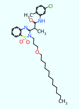 CCCCCCCCCCCCOCCCN1C(C(C)C(=O)Nc2cc(Cl)ccc2C)=Nc2ccccc2S1(=O)=O